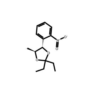 [CH2][C@@H]1OC(CC)(CC)O[C@H]1c1ccccc1[N+](=O)[O-]